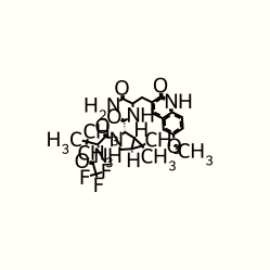 COc1ccc2[nH]c(=O)c(CC(NC(=O)[C@@H]3[C@@H]4[C@H](CN3C(=O)[C@@H](NC(=O)C(F)(F)F)C(C)(C)C)C4(C)C)C(N)=O)cc2c1